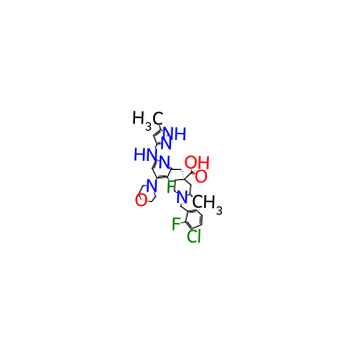 Cc1cc(Nc2cc(N3CCOCC3)c(F)c(C[C@@]3(C(=O)O)CCN(Cc4cccc(Cl)c4F)[C@H](C)C3)n2)n[nH]1